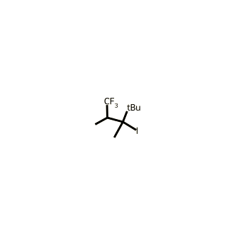 CC(C(F)(F)F)C(C)(I)C(C)(C)C